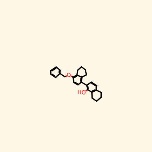 Oc1c(-c2ccc(OCc3ccccc3)c3c2CCCC3)c[c]c2c1CCCC2